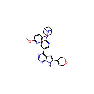 COc1ccc(CN2C3CC2CN(c2ccc(-c4ncnc5[nH]c(C6=CCOCC6)cc45)cn2)C3)cn1